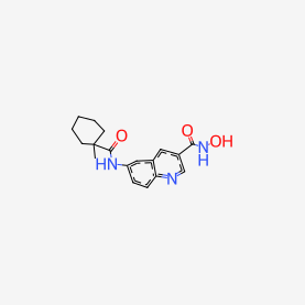 CC1(C(=O)Nc2ccc3ncc(C(=O)NO)cc3c2)CCCCC1